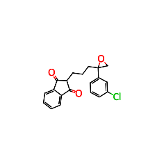 O=C1c2ccccc2C(=O)C1CCCC1(c2cccc(Cl)c2)CO1